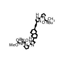 CC[C@H](C)[C@H](C)C(=O)N1CCC[C@H]1c1nc(C#Cc2ccc3cc(-c4cnc([C@@H]5CCCN5C(=O)[C@@H](NC(=O)OC)[C@@H](C)CC)[nH]4)ccc3c2)c[nH]1